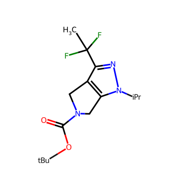 CC(C)n1nc(C(C)(F)F)c2c1CN(C(=O)OC(C)(C)C)C2